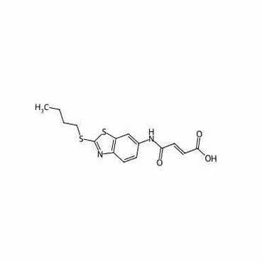 CCCCSc1nc2ccc(NC(=O)C=CC(=O)O)cc2s1